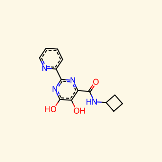 O=C(NC1CCC1)c1nc(-c2ccccn2)nc(O)c1O